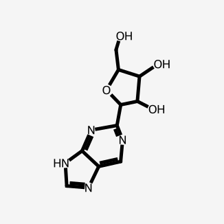 OCC1OC(c2ncc3nc[nH]c3n2)C(O)C1O